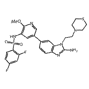 COc1ncc(-c2ccc3nc(N)n(CCN4CCSCC4)c3c2)cc1NS(=O)(=O)c1ccc(F)cc1F